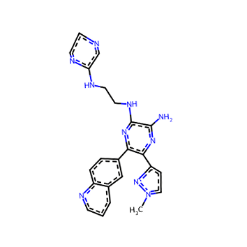 Cn1ccc(-c2nc(N)c(NCCNc3cnccn3)nc2-c2ccc3ncccc3c2)n1